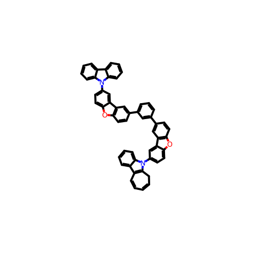 C1=CCc2c(c3ccccc3n2-c2ccc3oc4ccc(-c5cccc(-c6ccc7oc8ccc(-n9c%10ccccc%10c%10ccccc%109)cc8c7c6)c5)cc4c3c2)C=C1